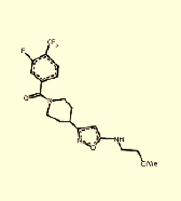 COCCNc1cc(C2CCN(C(=O)c3ccc(C(F)(F)F)c(F)c3)CC2)no1